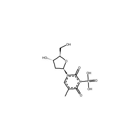 Cc1cn([C@H]2C[C@H](O)[C@@H](CO)O2)c(=O)n(P(=O)(O)O)c1=O